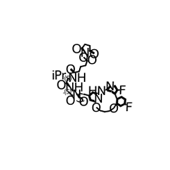 CC(C)[C@H](NC(=O)CCCC(=O)ON1C(=O)CCC1=O)C(=O)N[C@@H](C)C(=O)N=S(C)(=O)Cc1cc2nc(c1)OCCCOc1cc(F)ccc1-c1cc(ncc1F)N2